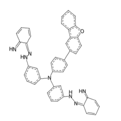 N=C1C=CC=C/C1=N/Nc1cccc(N(c2ccc(-c3ccc4oc5ccccc5c4c3)cc2)c2cccc(N/N=C3/C=CC=CC3=N)c2)c1